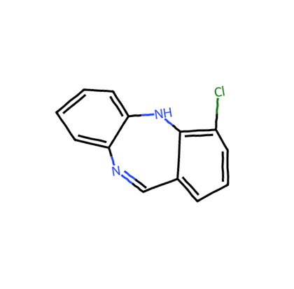 Clc1cccc2c1Nc1ccccc1N=C2